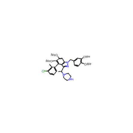 COc1ccc(Cn2nc(C(C)N3CCNCC3)c3c(-c4cccc(Cl)c4C)c(OC)c(OC)cc32)cc1OC